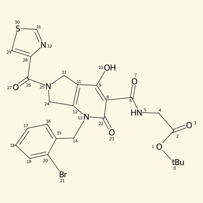 CC(C)(C)OC(=O)CNC(=O)c1c(O)c2c(n(Cc3ccccc3Br)c1=O)CN(C(=O)c1cscn1)C2